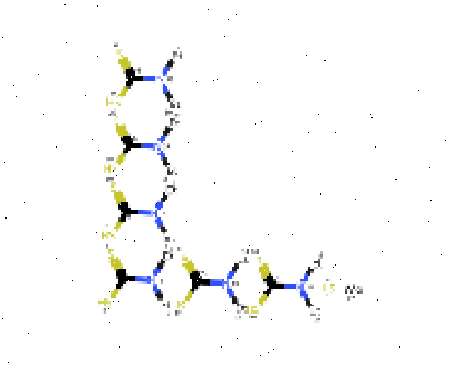 CCN(CC)C(=S)S.CCN(CC)C(=S)S.CCN(CC)C(=S)S.CCN(CC)C(=S)S.CCN(CC)C(=S)S.CCN(CC)C(=S)S.S.[Mo]